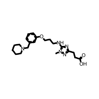 Cn1nc(CCC(=O)O)nc1NCCCOc1cccc(CN2CCCCC2)c1